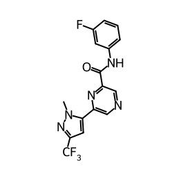 Cn1nc(C(F)(F)F)cc1-c1cncc(C(=O)Nc2cccc(F)c2)n1